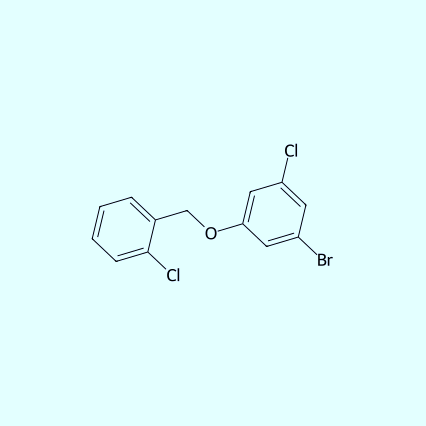 Clc1cc(Br)cc(OCc2ccccc2Cl)c1